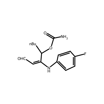 CCCCC(OC(N)=O)C(=CC=O)Nc1ccc(F)cc1